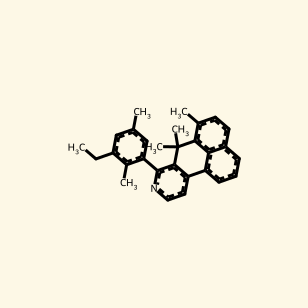 CCc1cc(C)cc(-c2nccc3c2C(C)(C)c2c(C)ccc4cccc-3c24)c1C